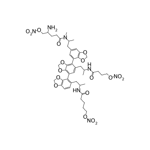 CC(Cc1ccc2c(c1-c1cc(CC(C)NC(=O)CCCO[N+](=O)[O-])c(-c3cc(CC(C)N(C)C(=O)CCC(N)CO[N+](=O)[O-])cc4c3OCO4)c3c1OCO3)OCO2)NC(=O)CCCCO[N+](=O)[O-]